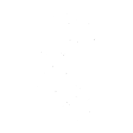 CCS(=O)(=O)c1ccc(Cl)cc1CNC(=O)c1cc(C)c(CN2CCCCC2)c(Cl)c1